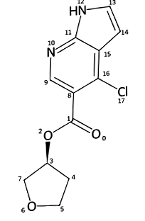 O=C(O[C@H]1CCOC1)c1cnc2[nH]ccc2c1Cl